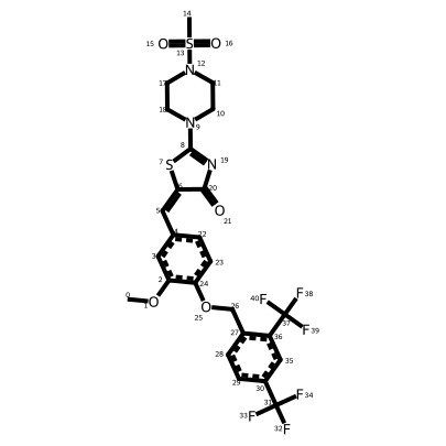 COc1cc(/C=C2/SC(N3CCN(S(C)(=O)=O)CC3)=NC2=O)ccc1OCc1ccc(C(F)(F)F)cc1C(F)(F)F